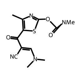 CNC(=O)Oc1nc(C)c(C(=O)C(C#N)=CN(C)C)s1